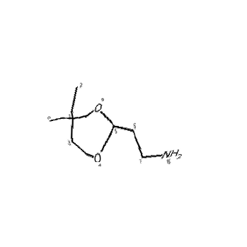 CC1(C)COC(CCN)O1